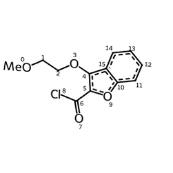 COCCOc1c(C(=O)Cl)oc2ccccc12